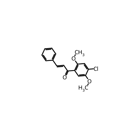 COc1cc(C(=O)C=Cc2ccccc2)c(OC)cc1Cl